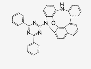 c1ccc(-c2nc(-c3ccccc3)nc(N3c4cccc5c4Oc4c3ccc3cccc(c43)-c3ccccc3N5)n2)cc1